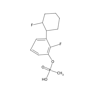 CP(=O)(O)Oc1cccc(C2CCCCC2F)c1F